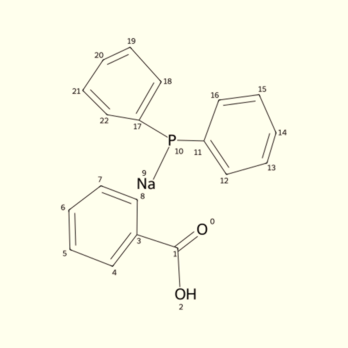 O=C(O)c1ccccc1.[Na][P](c1ccccc1)c1ccccc1